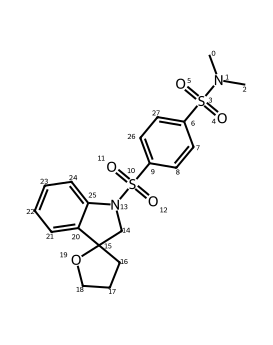 CN(C)S(=O)(=O)c1ccc(S(=O)(=O)N2CC3(CCCO3)c3ccccc32)cc1